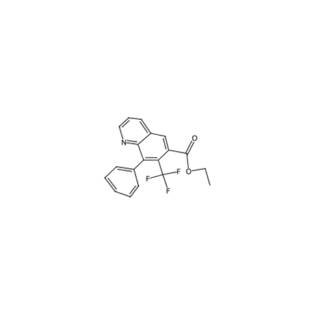 CCOC(=O)c1cc2cccnc2c(-c2ccccc2)c1C(F)(F)F